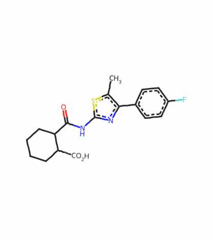 Cc1sc(NC(=O)C2CCCCC2C(=O)O)nc1-c1ccc(F)cc1